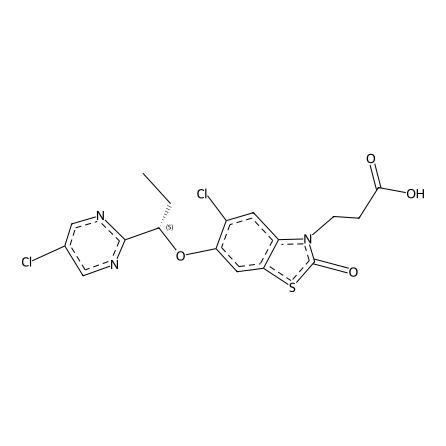 CC[C@H](Oc1cc2sc(=O)n(CCC(=O)O)c2cc1Cl)c1ncc(Cl)cn1